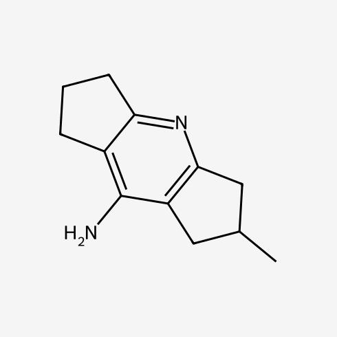 CC1Cc2nc3c(c(N)c2C1)CCC3